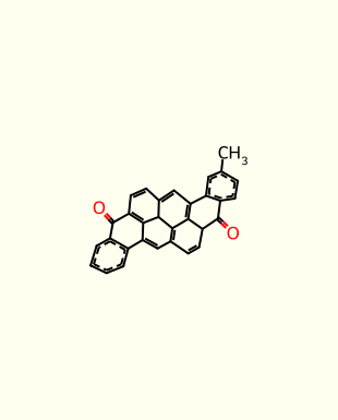 Cc1ccc2c(c1)C1=C3C4=C(C=CC3C2=O)C=C2C3=C(C=CC(=C1)C43)C(=O)c1ccccc12